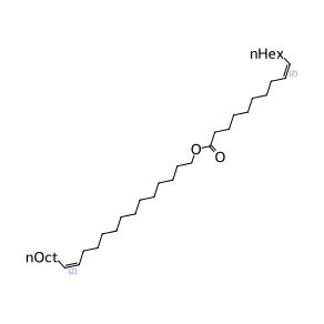 CCCCCC/C=C\CCCCCCCC(=O)OCCCCCCCCCCCC/C=C\CCCCCCCC